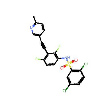 Cc1ccc(C#Cc2c(F)ccc(NS(=O)(=O)c3cc(Cl)ccc3Cl)c2F)cn1